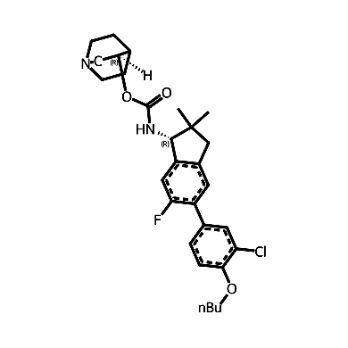 CCCCOc1ccc(-c2cc3c(cc2F)[C@H](NC(=O)O[C@H]2CN4CCC2CC4)C(C)(C)C3)cc1Cl